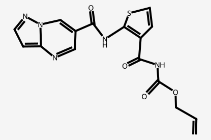 C=CCOC(=O)NC(=O)c1ccsc1NC(=O)c1cnc2ccnn2c1